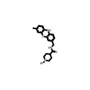 Cc1ccc2c(c1)Oc1cc(CNC(=O)C3CCN(C(C)C)CC3)ccc1N2